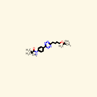 CC(C)(C)OCCCCc1nnc(-c2ccc(NC(=O)C(C)(C)C)cc2)nn1